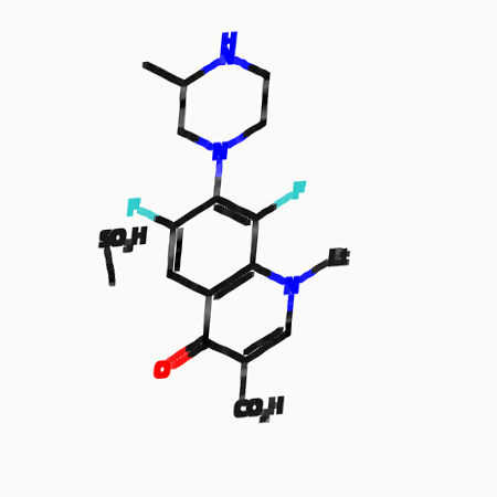 CCn1cc(C(=O)O)c(=O)c2cc(F)c(N3CCNC(C)C3)c(F)c21.CS(=O)(=O)O